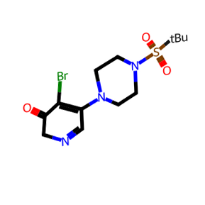 CC(C)(C)S(=O)(=O)N1CCN(C2=C(Br)C(=O)CN=C2)CC1